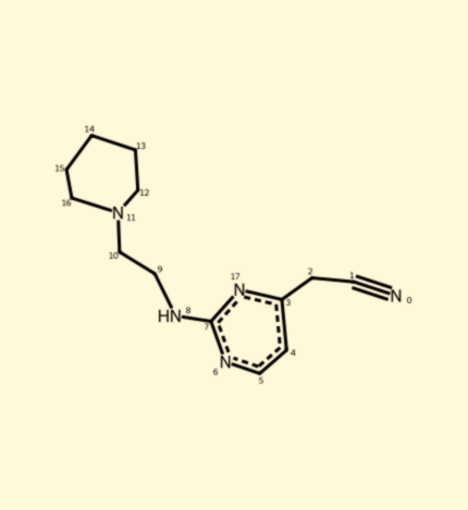 N#CCc1ccnc(NCCN2CCCCC2)n1